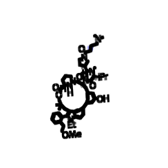 CCn1c(-c2ccccc2CCOC)c2c3cc(ccc31)-c1cc(O)cc(c1)C[C@H](NC(=O)[C@H](C(C)C)N(C)C(=O)[C@H]1CCN(C(=O)/C=C/CN(C)C)C1)C(=O)N1CCC[C@H](N1)C(=O)OCC(C)(C)C2